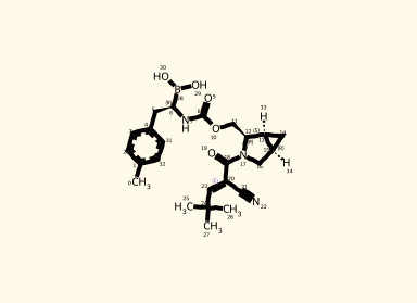 Cc1ccc(C[C@H](NC(=O)OC[C@H]2[C@H]3C[C@H]3CN2C(=O)/C(C#N)=C/C(C)(C)C)B(O)O)cc1